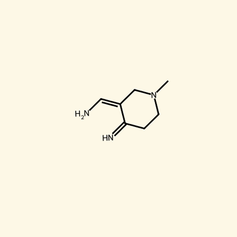 CN1CCC(=N)/C(=C\N)C1